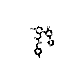 CC(=O)N1CCN(c2nc(-n3ccnc3)ncc2C(C)C)C(CC(=O)NCc2ccc(C)cc2)C1